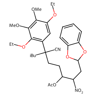 CCOc1cc(C(C#N)(CCC(OC(C)=O)C(CC2Oc3ccccc3O2)[N+](=O)[O-])C(C)CC)c(OCC)c(OC)c1OC